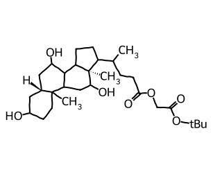 CC(CCC(=O)OCC(=O)OC(C)(C)C)C1CCC2C3C(O)C[C@H]4CC(O)CCC4(C)C3CC(O)[C@]12C